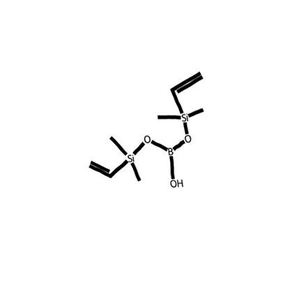 C=C[Si](C)(C)OB(O)O[Si](C)(C)C=C